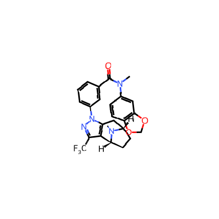 CN(C(=O)c1cccc(-n2nc(C(F)(F)F)c3c2C[C@@H]2CC[C@H]3N2C)c1)c1ccc2c(c1)OCO2